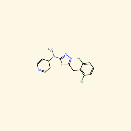 CN(c1nnc(Cc2c(Cl)cccc2Cl)o1)C1C=CN=CC1